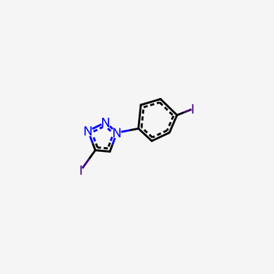 Ic1ccc(-n2cc(I)nn2)cc1